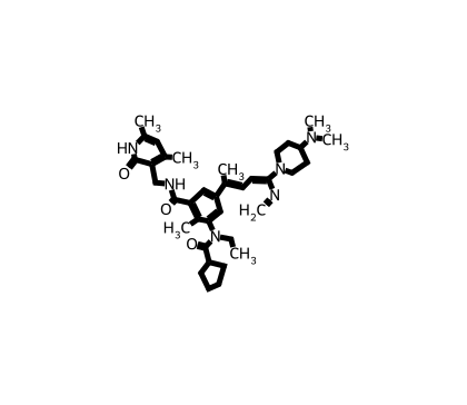 C=N/C(=C\C=C(/C)c1cc(C(=O)NCc2c(C)cc(C)[nH]c2=O)c(C)c(N(CC)C(=O)C2CCCC2)c1)N1CCC(N(C)C)CC1